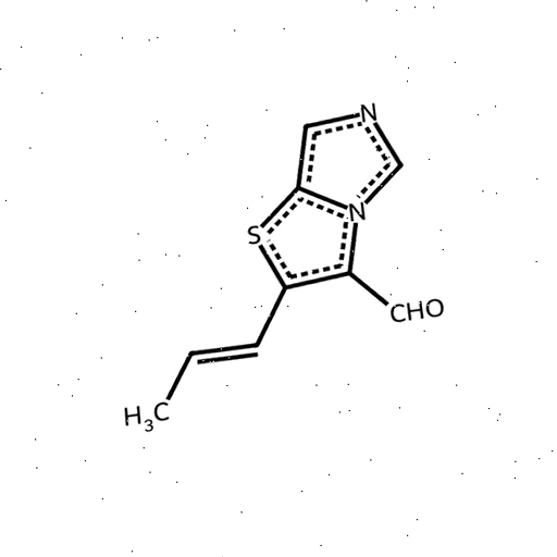 CC=Cc1sc2cncn2c1C=O